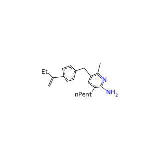 C=C(CC)c1ccc(Cc2cc(CCCCC)c(N)nc2C)cc1